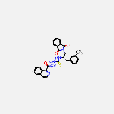 O=C(NNC(=S)N[C@@H](Cc1cccc(C(F)(F)F)c1)CN1C(=O)c2ccccc2C1=O)c1nccc2c[c]ccc12